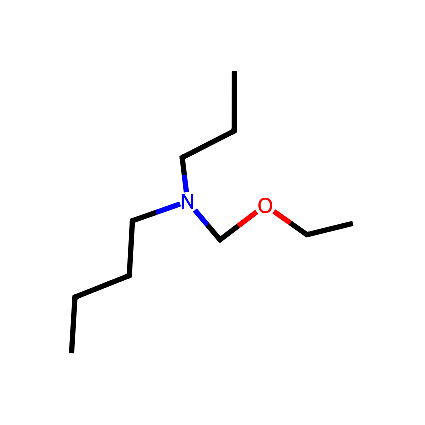 CCCCN(CCC)COCC